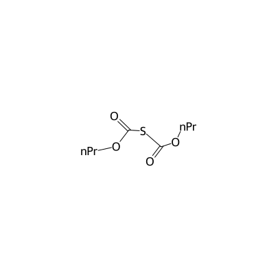 CCCOC(=O)SC(=O)OCCC